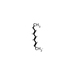 [CH2]/C=C/C=C/C=C/CC